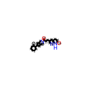 COC1=CC=CCC=C1C1=CC2CN(C(=O)/C=C/c3cnc4c(c3)CCC(=O)N4)CC2C1